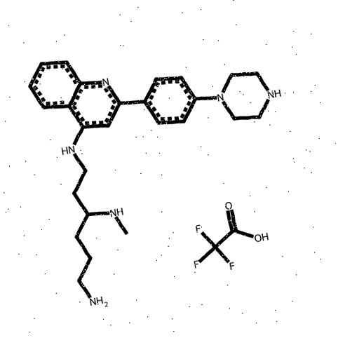 CNC(CCCN)CCNc1cc(-c2ccc(N3CCNCC3)cc2)nc2ccccc12.O=C(O)C(F)(F)F